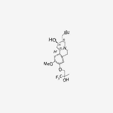 COc1cc2c(cc1OCC(C)(O)C(F)(F)F)CCN1C[C@@H](CC(C)(C)C)[C@H](O)C[C@H]21